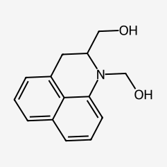 OCC1Cc2cccc3cccc(c23)N1CO